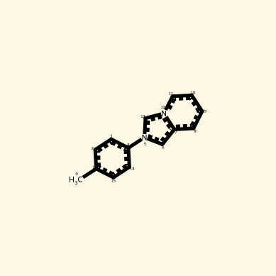 Cc1ccc(-[n+]2cc3ccccn3c2)cc1